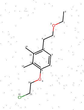 CCOCCc1ccc(OCCCl)c(C)c1C